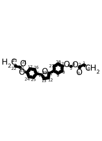 C=CC(=O)OCOc1ccc(-c2ccc(-c3ccc(OC(=O)C=C)cc3)o2)cc1